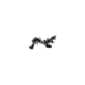 CCN(C(=O)OCc1ccc(NC(=O)C(C)NC(=O)C(NC(=O)CCCSSc2ccccn2)C(C)C)cc1)c1cc(C2(Cc3nncn3C)COC2)cc(N2Cc3c(SC)cc(CN4CCC[C@H](C)C4)cc3C2=O)n1